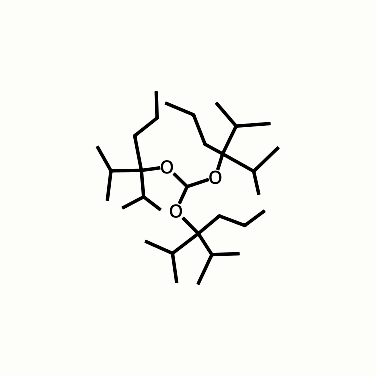 CCCC(OC(OC(CCC)(C(C)C)C(C)C)OC(CCC)(C(C)C)C(C)C)(C(C)C)C(C)C